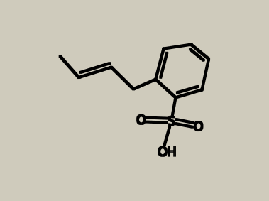 CC=CCc1ccccc1S(=O)(=O)O